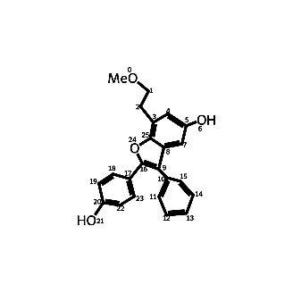 COCCc1cc(O)cc2c(-c3ccccc3)c(-c3ccc(O)cc3)oc12